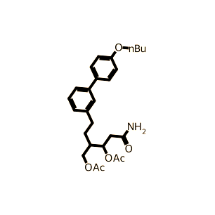 CCCCOc1ccc(-c2cccc(CCC(COC(C)=O)C(CC(N)=O)OC(C)=O)c2)cc1